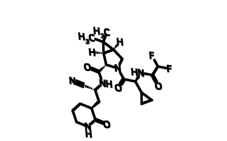 CC1(C)[C@@H]2[C@@H](C(=O)N[C@@H](C#N)C[C@@H]3CCCNC3=O)N(C(=O)[C@@H](NC(=O)C(F)F)C3CC3)C[C@@H]21